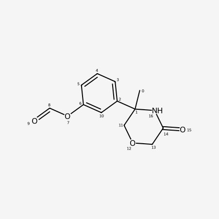 CC1(c2cccc(OC=O)c2)COCC(=O)N1